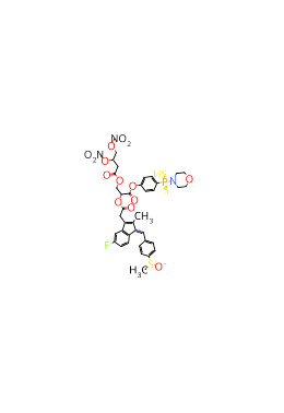 CC1=C(CC(=O)OC(COC(=O)CC(CO[N+](=O)[O-])O[N+](=O)[O-])C(=O)Oc2ccc(P(=S)(S)N3CCOCC3)cc2)c2cc(F)ccc2/C1=C\c1ccc([S+](C)[O-])cc1